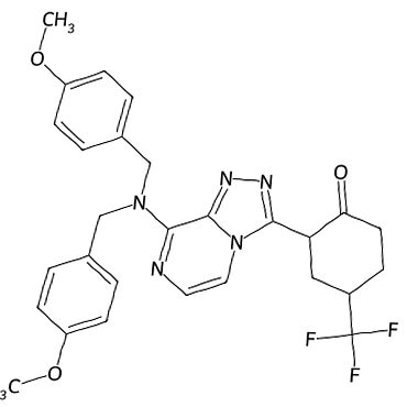 COc1ccc(CN(Cc2ccc(OC)cc2)c2nccn3c(C4CC(C(F)(F)F)CCC4=O)nnc23)cc1